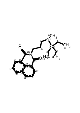 CC[Si](CC)(CC)N(C)CCCN1C(=O)c2cccc3cccc(c23)C1=O